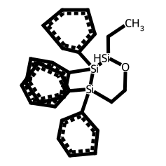 CC[SiH]1OCC[Si](c2ccccc2)(c2ccccc2)[Si]1(c1ccccc1)c1ccccc1